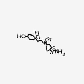 CCCN(CCCC1(O)C=CC(O)C=C1)C1CCc2nc(N)sc2C1